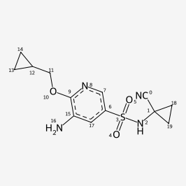 N#CC1(NS(=O)(=O)c2cnc(OCC3CC3)c(N)c2)CC1